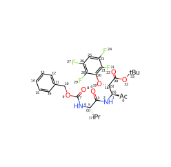 CC(=O)[C@@H](NC(=O)[C@@H](NC(=O)OCc1ccccc1)C(C)C)[C@H](Oc1c(F)c(F)cc(F)c1F)C(=O)OC(C)(C)C